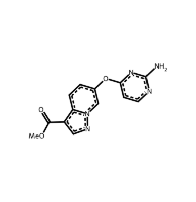 COC(=O)c1cnn2cc(Oc3ccnc(N)n3)ccc12